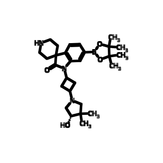 CC1(C)CN(C2CC(N3C(=O)C4(CCNCC4)c4ccc(B5OC(C)(C)C(C)(C)O5)cc43)C2)C[C@H]1O